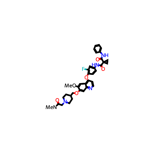 CNC(=O)CN1CCC(COc2cc3nccc(Oc4ccc(NC(=O)C5(C(=O)Nc6ccccc6)CC5)cc4F)c3cc2OC)CC1